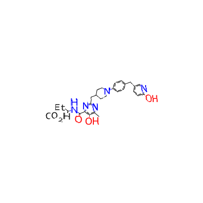 CCC(NC(=O)c1nc(CC2CCN(c3ccc(Cc4ccc(O)nc4)cc3)CC2)nc(C)c1O)C(=O)O